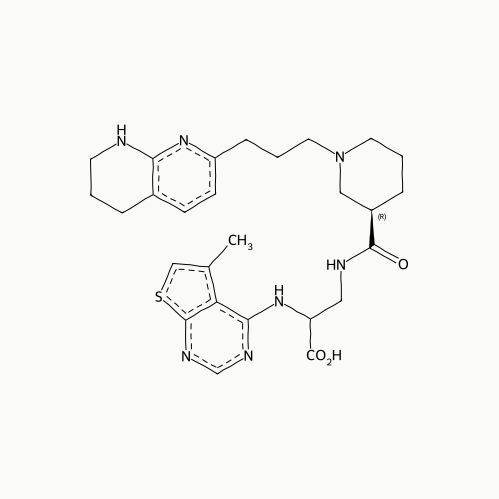 Cc1csc2ncnc(NC(CNC(=O)[C@@H]3CCCN(CCCc4ccc5c(n4)NCCC5)C3)C(=O)O)c12